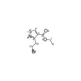 CCOC(=O)c1csnc1CCBr